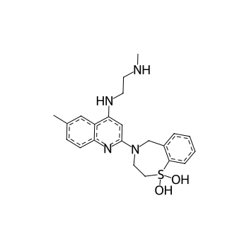 CNCCNc1cc(N2CCS(O)(O)c3ccccc3C2)nc2ccc(C)cc12